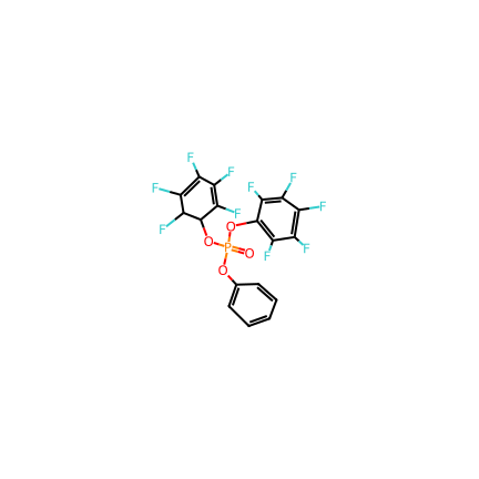 O=P(Oc1ccccc1)(Oc1c(F)c(F)c(F)c(F)c1F)OC1C(F)=C(F)C(F)=C(F)C1F